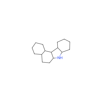 C1CCC2C(C1)CCC1NC3CCCCC3C12